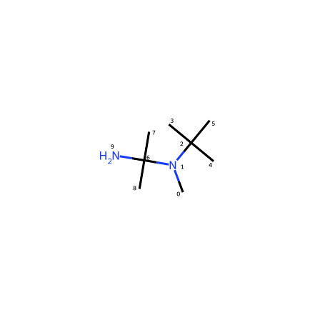 CN(C(C)(C)C)C(C)(C)N